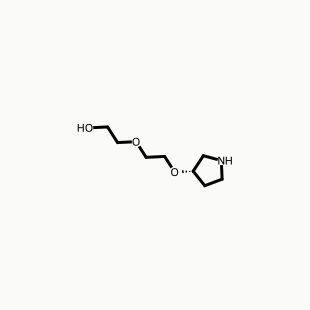 OCCOCCO[C@H]1CCNC1